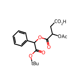 CC(=O)OC(CC(=O)O)C(=O)OC(C(=O)OC(C)(C)C)c1ccccc1